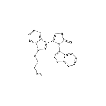 NCCCn1cc(-c2c[nH]c(=O)n2-c2csc3ccccc23)c2ccccc21